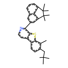 Cc1c(CC(C)(C)C)ccc2c1sc1c(-c3cc4c5c(cccc5c3)C(C)(C)C4(C)C)nccc12